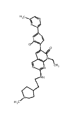 CCn1c(=O)c(-c2ccc(-c3cncc(C)n3)cc2Cl)cc2cnc(NCCC3CCN(C)CC3)nc21